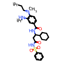 CC(C)CCN(C)c1ccc(C(=O)NC(CC(=O)NS(=O)(=O)c2ccccc2)C2CCCCC2)cc1NC(C)C